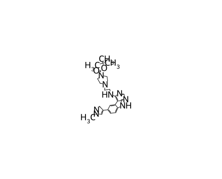 Cn1cc(-c2ccc3[nH]c4ncnc(NCCN5CCN(C(=O)OC(C)(C)C)CC5)c4c3c2)cn1